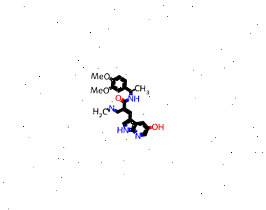 C=NC/C(=C\c1c[nH]c2ncc(O)cc12)C(=O)N[C@H](C)c1ccc(OC)c(OC)c1